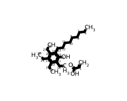 C=CC(=O)O.CCCCCCCCCc1c(O)c(CC)c(CC)c(CC)c1CC